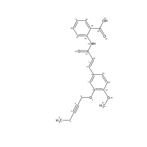 CCC#CCOc1cc(/C=C/C(=O)Nc2ccccc2C(=O)O)ccc1OC